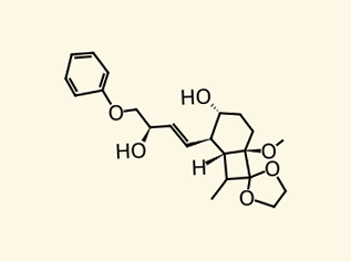 CO[C@]12CC[C@@H](O)[C@H](/C=C/[C@@H](O)COc3ccccc3)[C@H]1C(C)C21OCCO1